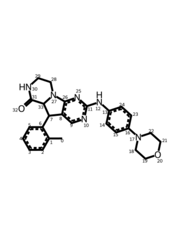 Cc1ccccc1C1c2cnc(Nc3ccc(N4CCOCC4)cc3)nc2N2CCNC(=O)C12